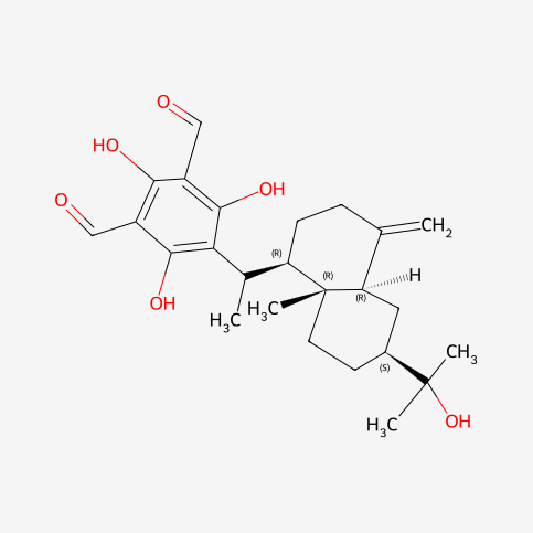 C=C1CC[C@H](C(C)c2c(O)c(C=O)c(O)c(C=O)c2O)[C@@]2(C)CC[C@H](C(C)(C)O)C[C@H]12